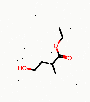 CCOC(=O)C(C)CCO